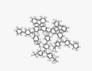 CC(C)(C)c1ccc(N(c2ccc(-c3ccc(N(c4ccc(C5(c6ccc(N(c7ccc(-c8ccccc8)cc7)c7ccc(C(C)(C)C)cc7)cc6)c6ccccc6-c6ccccc65)cc4)c4ccc(C5(c6ccc(N(c7ccc(-c8ccccc8)cc7)c7ccc(C(C)(C)C)cc7)cc6)c6ccccc6-c6ccccc65)cc4)cc3)cc2)c2ccc(C(C)(C)C)cc2)cc1